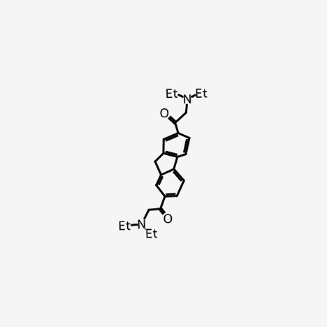 CCN(CC)CC(=O)c1ccc2c(c1)Cc1cc(C(=O)CN(CC)CC)ccc1-2